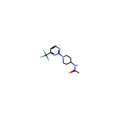 CC(=O)NC1CCN(c2nccc(C(F)(F)F)n2)CC1